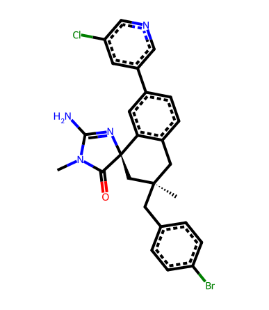 CN1C(=O)[C@]2(C[C@](C)(Cc3ccc(Br)cc3)Cc3ccc(-c4cncc(Cl)c4)cc32)N=C1N